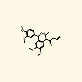 C=CCC(=O)C(CC)c1cc(OC)c(OC)cc1C(O)c1ccc(OC)c(OC)c1